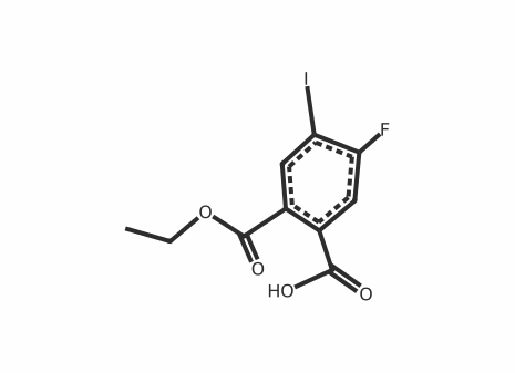 CCOC(=O)c1cc(I)c(F)cc1C(=O)O